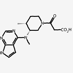 C[C@@H]1CCN(C(=O)CC(=O)O)C[C@@H]1N(C)c1ncnc2[nH]ccc12